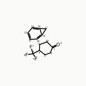 O=C1CCC(C(F)(F)F)CC1.c1ccc2c(c1)C2